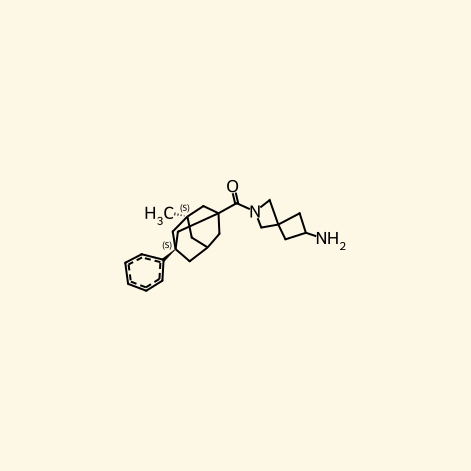 C[C@@]12CC3CC(C(=O)N4CC5(CC(N)C5)C4)(C1)C[C@](c1ccccc1)(C3)C2